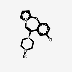 CCN1CCN(C2=Cn3cccc3Sc3ccc(Cl)cc32)CC1